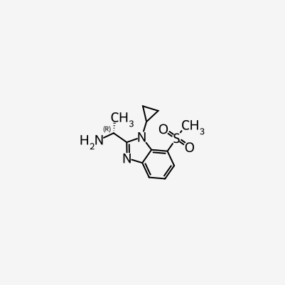 C[C@@H](N)c1nc2cccc(S(C)(=O)=O)c2n1C1CC1